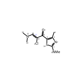 CNc1nc(C)c(C(=O)/C(Cl)=C/N(C)C)s1